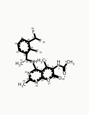 CC(=O)Nc1c(C)c2c(N[C@H](C)c3cccc(C(F)F)c3F)nc(C)nc2oc1=O